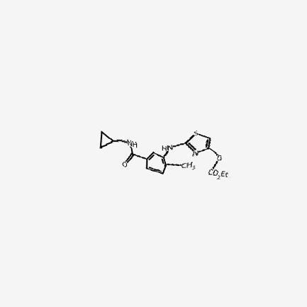 CCOC(=O)Oc1csc(Nc2cc(C(=O)NC3CC3)ccc2C)n1